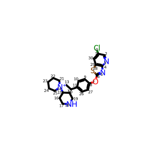 Clc1cnc2nc(Oc3ccc(CC[N+]4(C5CCNCC5)CCCCC4)cc3)sc2c1